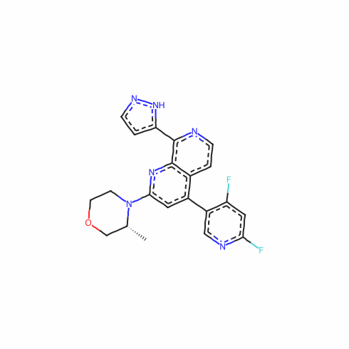 C[C@@H]1COCCN1c1cc(-c2cnc(F)cc2F)c2ccnc(-c3ccn[nH]3)c2n1